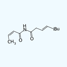 C/C=C\C(=O)NC(=O)C/C=C/C(C)CC